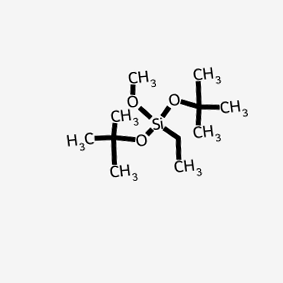 CC[Si](OC)(OC(C)(C)C)OC(C)(C)C